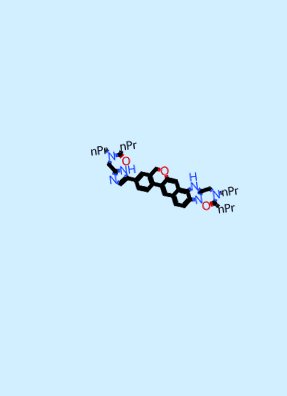 CCCC(=O)N(CCC)Cc1ncc(-c2ccc3c(c2)COc2cc4c(ccc5nc(CN(CCC)C(=O)CCC)[nH]c54)cc2-3)[nH]1